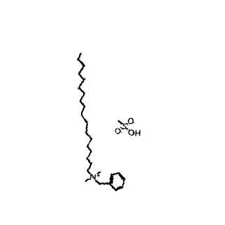 CCCCCCCCCCCCCCCCCC[N+](C)(C)Cc1ccccc1.CS(=O)(=O)O